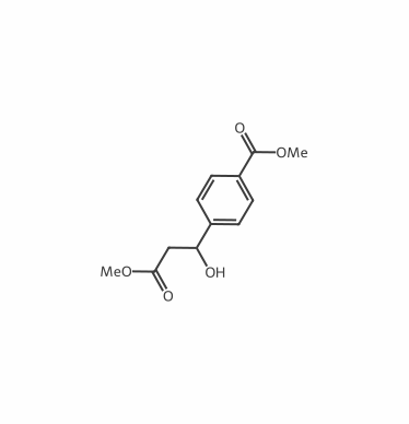 COC(=O)CC(O)c1ccc(C(=O)OC)cc1